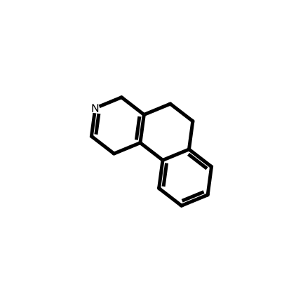 C1=NCC2=C(C1)c1ccccc1CC2